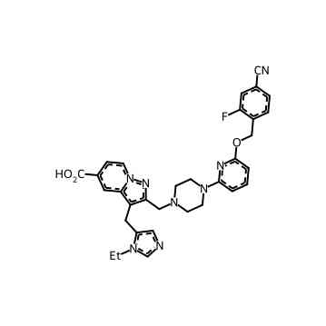 CCn1cncc1Cc1c(CN2CCN(c3cccc(OCc4ccc(C#N)cc4F)n3)CC2)nn2ccc(C(=O)O)cc12